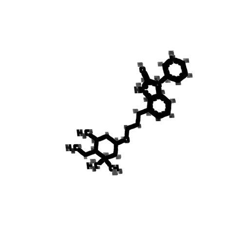 CCC1C(C)CC(OCCCc2cccc3c2[nH]c(=O)n3-c2cccnc2)CC1(C)C